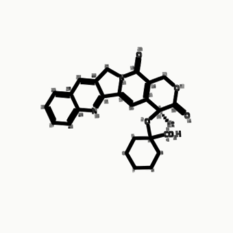 CC[C@@]1(OC2(C(=O)O)CCCCC2)C(=O)OCc2c1cc1n(c2=O)Cc2cc3ccccc3nc2-1